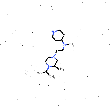 CC(C)N1CCN(CCN(C)C2CCNCC2)CC1C